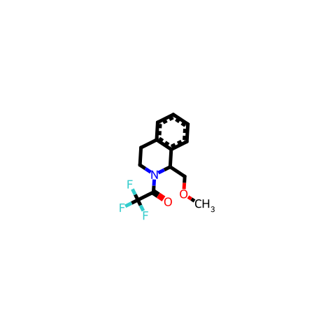 COCC1c2ccccc2CCN1C(=O)C(F)(F)F